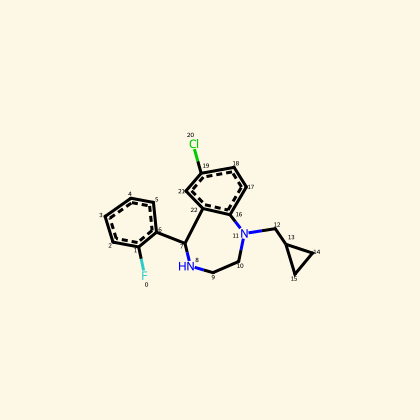 Fc1ccccc1C1NCCN(CC2CC2)c2ccc(Cl)cc21